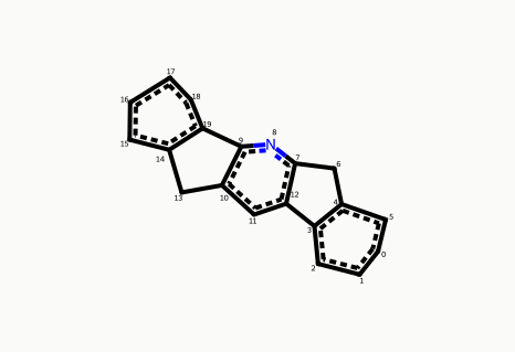 c1ccc2c(c1)Cc1nc3c(cc1-2)Cc1ccccc1-3